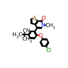 Cn1cc(-c2cc(C(C)(C)C#N)ccc2Oc2ccc(Cl)cc2)c2ccsc2c1=O